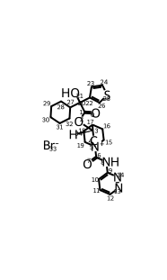 O=C(O[C@H]1C[N+]2(C(=O)Nc3cccnn3)CCC1CC2)C(O)(c1ccsc1)C1CCCCC1.[Br-]